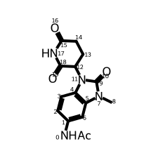 CC(=O)Nc1ccc2c(c1)n(C)c(=O)n2C1CCC(=O)NC1=O